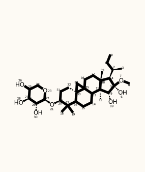 CC[C@@H](C)[C@H]1[C@@](O)(OC)[C@H](O)[C@@]2(C)C3CCC4C(C)(C)[C@@H](O[C@@H]5OCC(O)[C@H](O)[C@H]5O)CC[C@@]45CC35CC[C@]12C